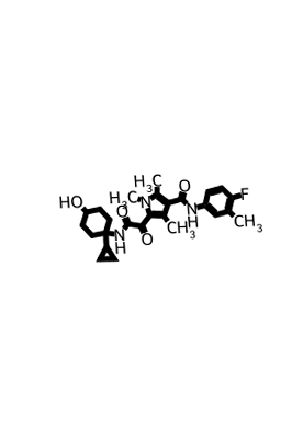 Cc1cc(NC(=O)c2c(C)c(C(=O)C(=O)NC3(C4CC4)CCC(O)CC3)n(C)c2C)ccc1F